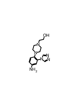 Nc1ccc(N2CCN(CCO)CC2)c(-n2cnnc2)c1